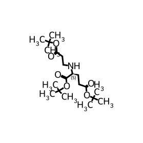 CC(C)(C)OC(=O)CCN[C@@H](CCC(=O)OC(C)(C)C)C(=O)OC(C)(C)C